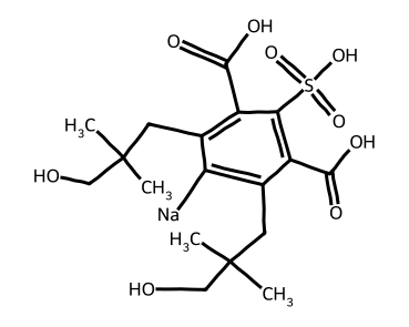 CC(C)(CO)Cc1[c]([Na])c(CC(C)(C)CO)c(C(=O)O)c(S(=O)(=O)O)c1C(=O)O